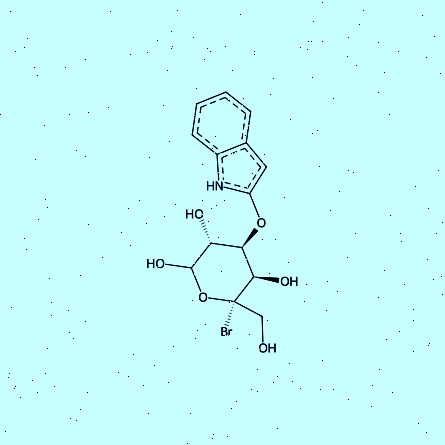 OC[C@@]1(Br)OC(O)[C@H](O)[C@@H](Oc2cc3ccccc3[nH]2)[C@H]1O